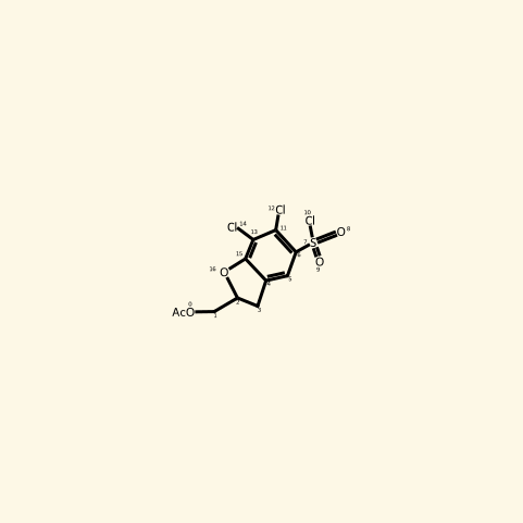 CC(=O)OCC1Cc2cc(S(=O)(=O)Cl)c(Cl)c(Cl)c2O1